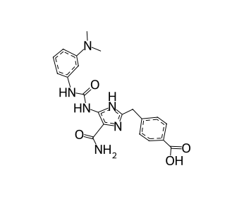 CN(C)c1cccc(NC(=O)Nc2[nH]c(Cc3ccc(C(=O)O)cc3)nc2C(N)=O)c1